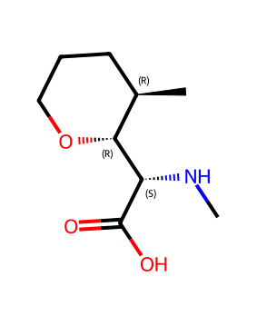 CN[C@H](C(=O)O)[C@@H]1OCCC[C@H]1C